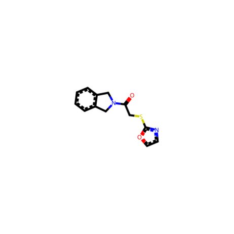 O=C(CSc1ncco1)N1Cc2ccccc2C1